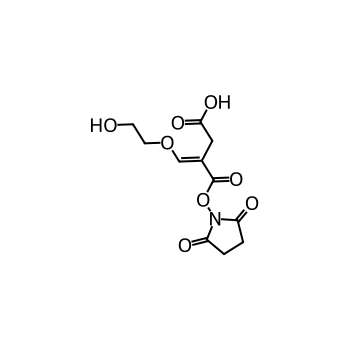 O=C(O)CC(=COCCO)C(=O)ON1C(=O)CCC1=O